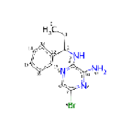 CCC(Nc1ncc(Br)nc1N)c1ccccc1